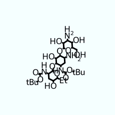 CCC1OC(OC2C(NC(=O)OC(C)(C)C)CC(N)C(OC3OC(CO)C(O)C(N)C3O)C2O)C(NC(=O)OC(C)(C)C)CC1O